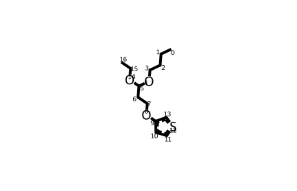 CCCCOC(CCOc1ccsc1)OCC